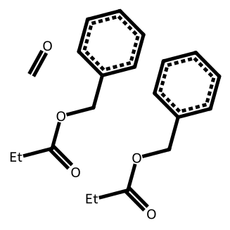 C=O.CCC(=O)OCc1ccccc1.CCC(=O)OCc1ccccc1